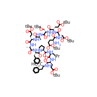 CC(C)C[C@H](NC(=O)[C@@H]1CCCN1C(=O)[C@H](Cc1ccccc1)NC(=O)[C@H](C)NC(=O)[C@H](CCC(=O)OC(C)(C)C)NC(=O)[C@H](C)NC(=O)[C@H](COC(C)(C)C)NC(=O)[C@H](CCC(=O)OC(C)(C)C)NC(=O)[C@H](CC(=O)OC(C)(C)C)NC(=O)[C@@H](N)CCC(=O)OC(C)(C)C)C(=O)N[C@@H](CCC(=O)OC(C)(C)C)C(=O)N[C@@H](Cc1ccccc1)C(=O)O